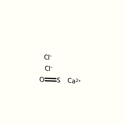 O=S.[Ca+2].[Cl-].[Cl-]